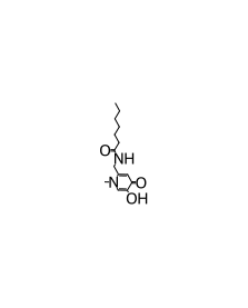 CCCCCCC(=O)NCc1cc(=O)c(O)cn1C